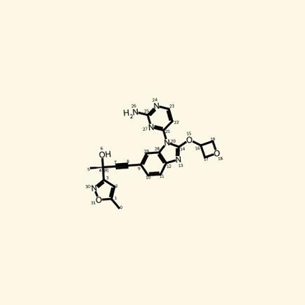 Cc1cc([C@](C)(O)C#Cc2ccc3nc(OC4COC4)n(-c4ccnc(N)n4)c3c2)no1